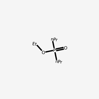 CCCP(=O)(CCC)OCC